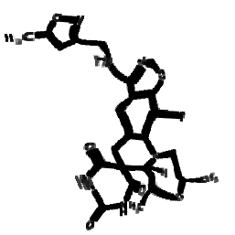 Cc1cc(CNc2noc3c(F)c4c(cc23)CC2(C(=O)NC(=O)NC2=O)[C@H]2[C@H](C)O[C@H](C)CN42)no1